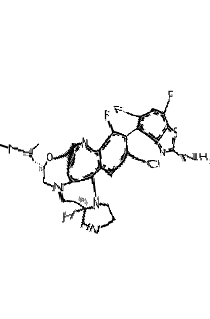 CN(C)C[C@H]1CN2C[C@H]3CNCCN3c3c2c(nc2c(F)c(-c4c(F)cc(F)c5sc(N)nc45)c(Cl)cc32)O1